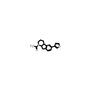 O=C(N1CCCC2c3cc(-c4ccoc4)ccc3CC21)C(F)(F)F